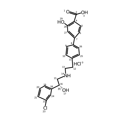 Cl.O=C(O)c1ccc(-c2ccc(CCNC[C@H](O)c3cccc(Cl)c3)cc2)cc1O